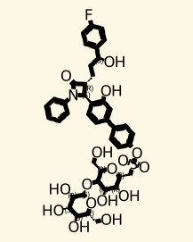 O=C1[C@H](CC[C@H](O)c2ccc(F)cc2)[C@@H](c2ccc(-c3ccc(OS(=O)(=O)C[C@@H]4O[C@H](CO)C(O[C@@H]5O[C@H](CO)[C@@H](O)[C@H](O)[C@H]5O)[C@H](O)[C@H]4O)cc3)cc2O)N1c1ccccc1